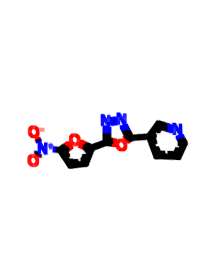 O=[N+]([O-])c1ccc(-c2nnc(-c3cccnc3)o2)o1